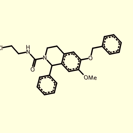 COc1cc2c(cc1OCc1ccccc1)CCN(C(=O)NCCCl)C2c1ccccc1